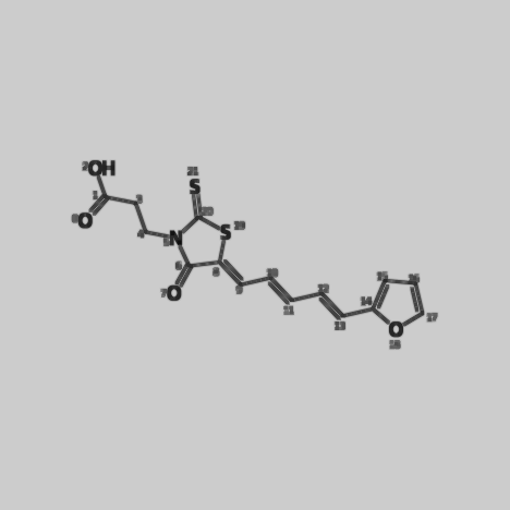 O=C(O)CCN1C(=O)C(=CC=CC=Cc2ccco2)SC1=S